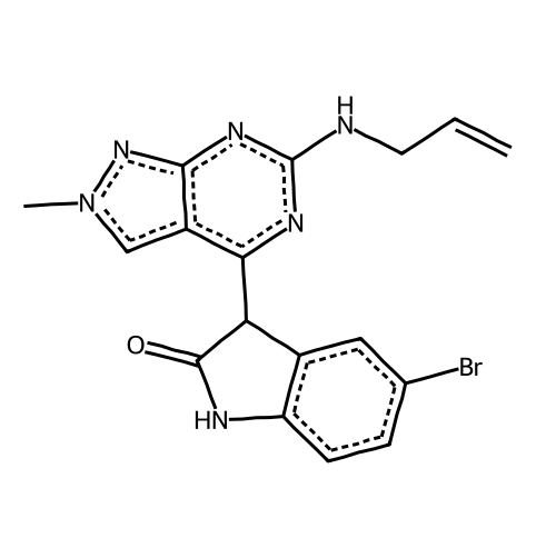 C=CCNc1nc(C2C(=O)Nc3ccc(Br)cc32)c2cn(C)nc2n1